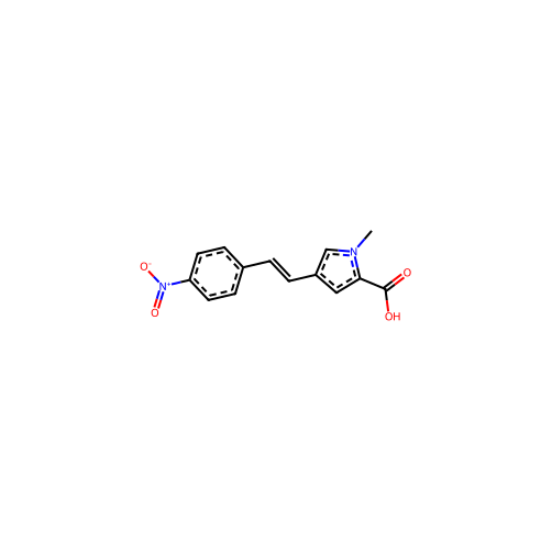 Cn1cc(C=Cc2ccc([N+](=O)[O-])cc2)cc1C(=O)O